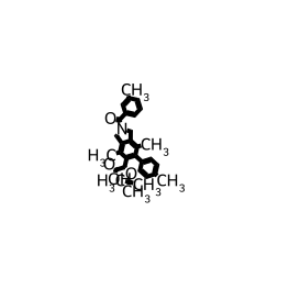 Cc1ccc(-c2c(C)c3c(c(C)c2C(OC(C)(C)C)C(=O)O)CN(C(=O)c2cccc(C)c2)C3)cc1